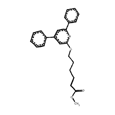 COC(=O)CCCCCOc1cc(-c2ccccc2)cc(-c2ccccc2)n1